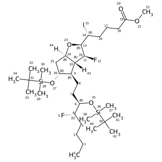 CCCC[C@H](F)[C@@H](CC[C@@H]1[C@H]2[C@H](F)[C@H]([C@H](I)CCCC(=O)OC)O[C@@H]2C[C@H]1O[Si](C)(C)C(C)(C)C)O[Si](C)(C)C(C)(C)C